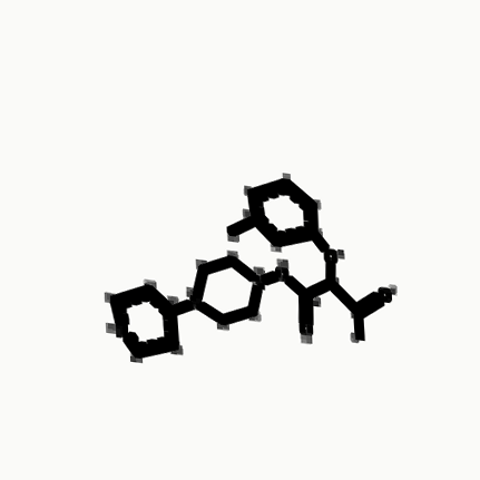 CC(=O)C(Oc1cccc(C)c1)C(=O)ON1CCN(c2ccncc2)CC1